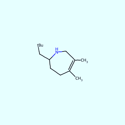 CC1=C(C)CNC(CC(C)(C)C)CC1